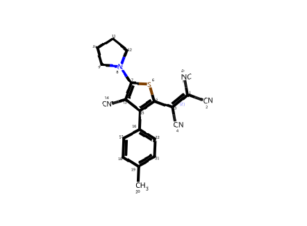 [C-]#[N+]/C(C#N)=C(/C#N)c1sc(N2CCCC2)c([N+]#[C-])c1-c1ccc(C)cc1